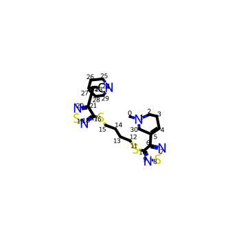 CN1CCC=C(c2nsnc2SCCCCSc2nsnc2C2CN3CCC2CC3)C1